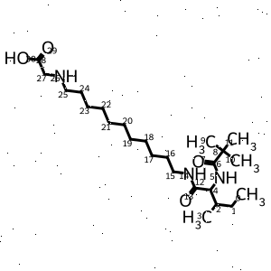 CCC(C)C(NC(=O)C(C)(C)C)C(=O)NCCCCCCCCCCCNCC(=O)O